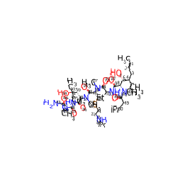 C/C=C/C[C@@H](C)[C@@H](O)[C@@H](C(=O)N[C@@H](CC)C(=O)N(C)[C@H](CSCCNC(C)C)C(=O)N(C)[C@@H](CC(C)(C)O)C(=O)NC(=O)N(C)C(N)=O)N(C)C(=O)CC(C)C